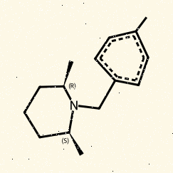 Cc1ccc(CN2[C@H](C)CCC[C@@H]2C)cc1